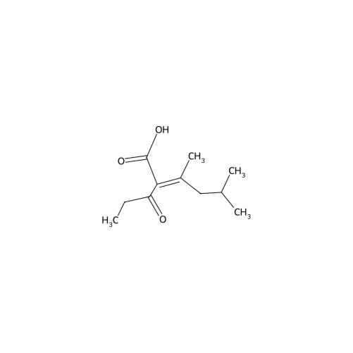 CCC(=O)C(C(=O)O)=C(C)CC(C)C